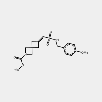 COc1ccc(CNS(=O)(=O)C=C2CC3(C2)CN(C(=O)OC(C)(C)C)C3)cc1